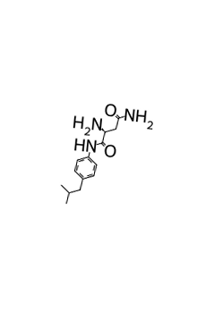 CC(C)Cc1ccc(NC(=O)[C@@H](N)CC(N)=O)cc1